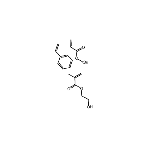 C=C(C)C(=O)OCCO.C=CC(=O)OC(C)(C)C.C=Cc1ccccc1